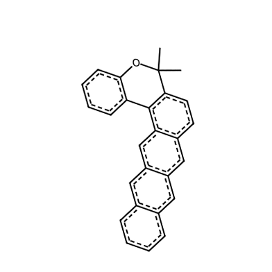 CC1(C)Oc2ccccc2-c2c1ccc1cc3cc4ccccc4cc3cc21